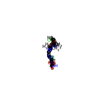 Cc1nc(N2CCC(CN3CCN(c4cc5c(c(F)c4F)C(=O)N(C4CCC(=O)NC4=O)C5=O)CC3)CC2)nc(C)c1C(=O)N[C@H]1C(C)(C)[C@H](Oc2ccc(C#N)c(Cl)c2)C1(C)C